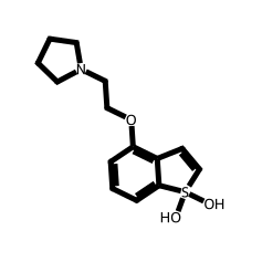 OS1(O)C=Cc2c(OCCN3CCCC3)cccc21